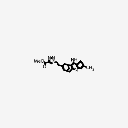 COC(=O)c1cn(CCC2=CC3Cc4nc5cc(C)ccc5c(N)c4C(C2)C3)nn1